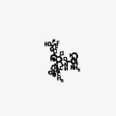 CC(NC(=O)c1c(N)nn2cccnc12)c1cc(Cl)c2c(Cl)cnn2c1N1CCS(=O)(=O)C(C)C1.O=C(O)C(F)(F)F